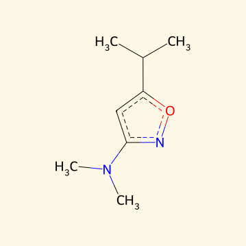 CC(C)c1cc(N(C)C)no1